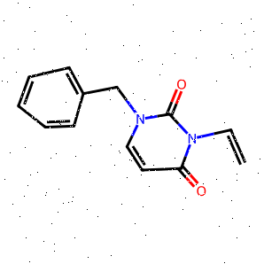 C=Cn1c(=O)ccn(Cc2ccccc2)c1=O